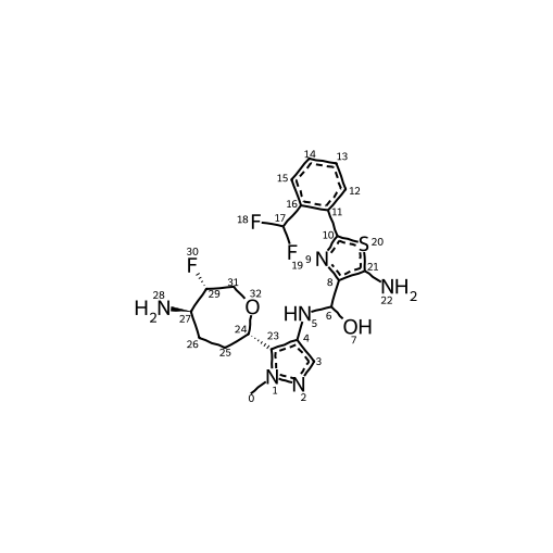 Cn1ncc(NC(O)c2nc(-c3ccccc3C(F)F)sc2N)c1[C@@H]1CC[C@@H](N)[C@H](F)CO1